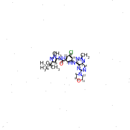 C=C/N=C1/C=NC(N2CCOCC2)=N/C1=C(/N)Nc1cc(Cl)cc(C(=O)Nc2cc(C(C)(C)C)nn2C)c1